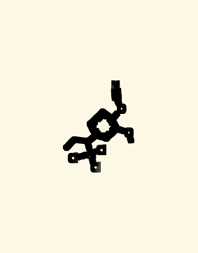 CCC(c1ccc(OC#N)c(OC)c1)[Si](Cl)(Cl)Cl